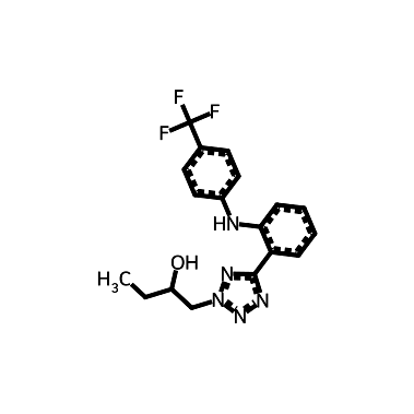 CCC(O)Cn1nnc(-c2ccccc2Nc2ccc(C(F)(F)F)cc2)n1